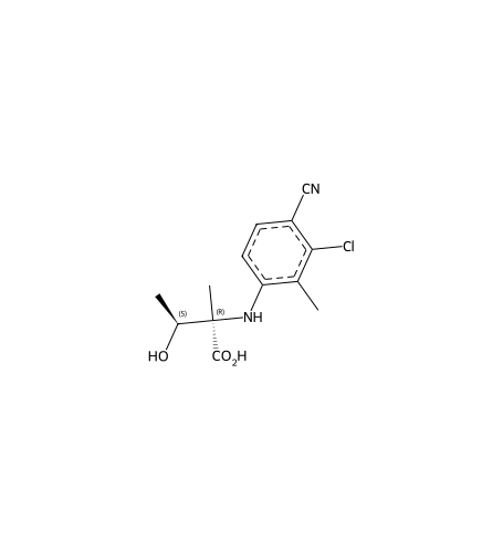 Cc1c(N[C@@](C)(C(=O)O)[C@H](C)O)ccc(C#N)c1Cl